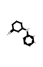 O=C1CCCC(Oc2ccccc2)C1